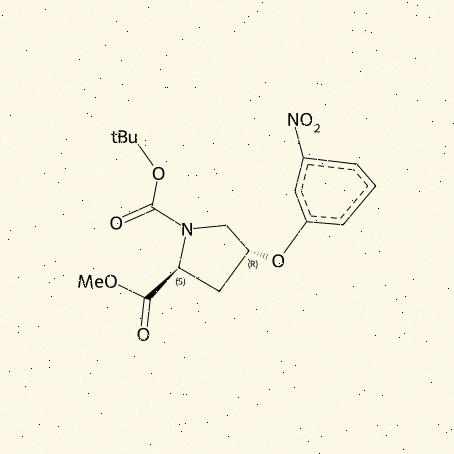 COC(=O)[C@@H]1C[C@@H](Oc2cccc([N+](=O)[O-])c2)CN1C(=O)OC(C)(C)C